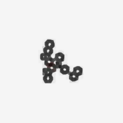 c1ccc(N(c2ccc(-c3cccc4ccccc34)cc2)c2ccc3sc4ccccc4c3c2)c(-c2cccc3oc4cc5ccccc5cc4c23)c1